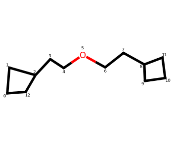 C1CC(CCOCCC2CCC2)C1